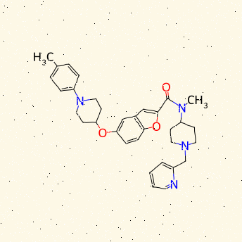 Cc1ccc(N2CCC(Oc3ccc4oc(C(=O)N(C)C5CCN(Cc6ccccn6)CC5)cc4c3)CC2)cc1